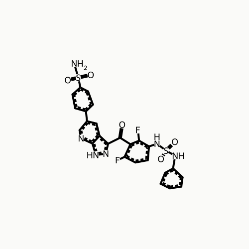 NS(=O)(=O)c1ccc(-c2cnc3[nH]nc(C(=O)c4c(F)ccc(NS(=O)(=O)Nc5ccccc5)c4F)c3c2)cc1